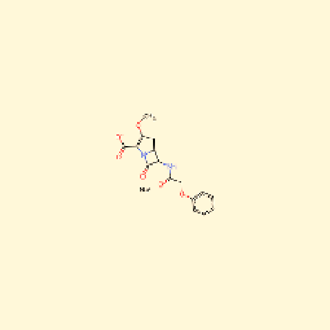 COC1=C(C(=O)[O-])N2C(=O)C(NC(=O)COc3ccccc3)C2C1.[Na+]